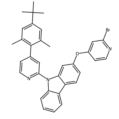 Cc1cc(C(C)(C)C)cc(C)c1-c1ccnc(-n2c3ccccc3c3ccc(Oc4ccnc(Br)c4)cc32)c1